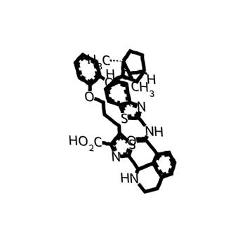 CC1(C)[C@H]2CC[C@]1(C)C(Oc1ccccc1OCCCc1sc(C3NCCc4cccc(C(=O)Nc5nc6ccccc6s5)c43)nc1C(=O)O)C2